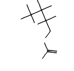 CC(C)C(=O)OCC1(C)OC(C)(C)C1(C)C